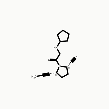 CC#C[C@H]1CC[C@@H](C#N)N1C(=O)CNC1CCCC1